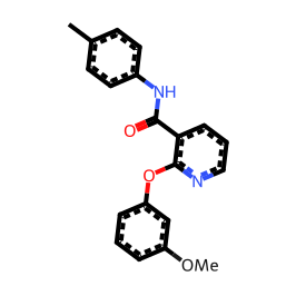 COc1cccc(Oc2ncccc2C(=O)Nc2ccc(C)cc2)c1